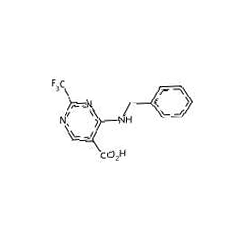 O=C(O)c1cnc(C(F)(F)F)nc1NCc1ccccc1